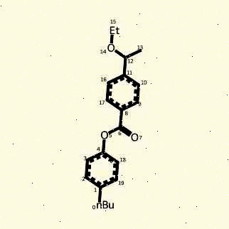 CCCCc1ccc(OC(=O)c2ccc(C(C)OCC)cc2)cc1